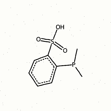 CP(C)c1ccccc1S(=O)(=O)O